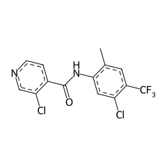 Cc1cc(C(F)(F)F)c(Cl)cc1NC(=O)c1ccncc1Cl